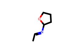 C/C=N/C1CCCO1